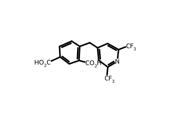 O=C(O)c1ccc(Cc2cc(C(F)(F)F)nc(C(F)(F)F)c2)c(C(=O)O)c1